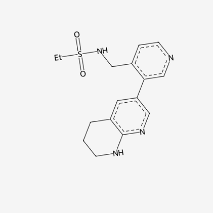 CCS(=O)(=O)NCc1ccncc1-c1cnc2c(c1)CCCN2